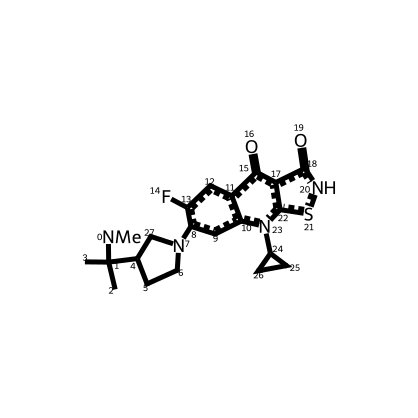 CNC(C)(C)C1CCN(c2cc3c(cc2F)c(=O)c2c(=O)[nH]sc2n3C2CC2)C1